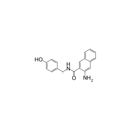 Nc1cc2ccccc2cc1C(=O)N[CH]c1ccc(O)cc1